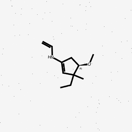 C=CNC1=CC(C)(CC)[C@H](OC)C1